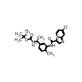 Cc1ccc([C@H](C)NC(=O)OC(C)(C)C)cc1NC(=O)c1cnc2cc(Cl)ccn12